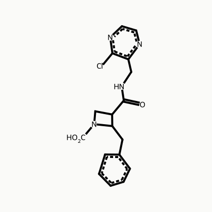 O=C(NCc1nccnc1Cl)C1CN(C(=O)O)C1Cc1ccccc1